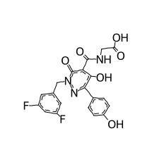 O=C(O)CNC(=O)c1c(O)c(-c2ccc(O)cc2)nn(Cc2cc(F)cc(F)c2)c1=O